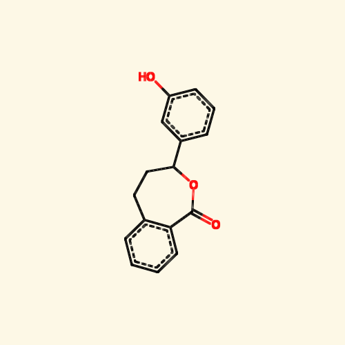 O=C1OC(c2cccc(O)c2)CCc2ccccc21